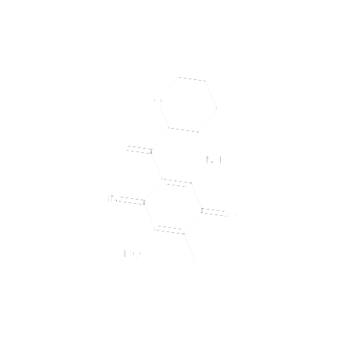 CC1=C(O)C(=N)C(C(=O)C2CCCCO2)=C(N)C1=O